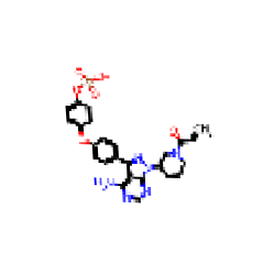 C=CC(=O)N1CCCC(n2nc(-c3ccc(Oc4ccc(OS(=O)(=O)O)cc4)cc3)c3c(N)ncnc32)C1